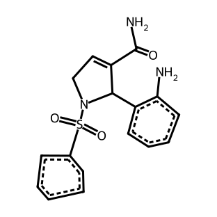 NC(=O)C1=CCN(S(=O)(=O)c2ccccc2)C1c1ccccc1N